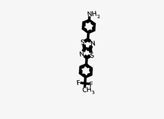 CC(F)(F)c1ccc(-c2nc3sc(-c4ccc(N)cc4)nc3s2)cc1